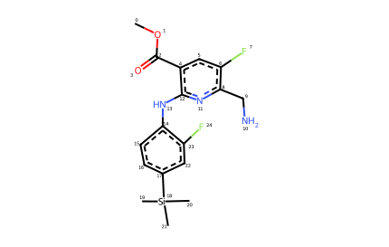 COC(=O)c1cc(F)c(CN)nc1Nc1ccc([Si](C)(C)C)cc1F